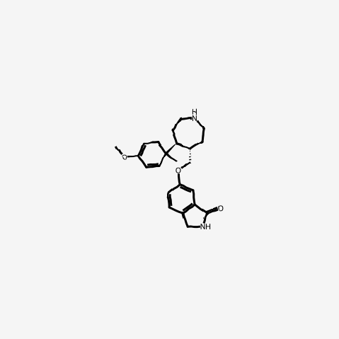 COC1=CCC(C)([C@H]2CCNCC[C@@H]2COc2ccc3c(c2)C(=O)NC3)C=C1